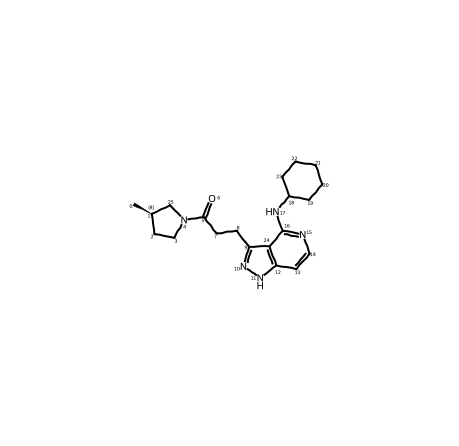 C[C@@H]1CCN(C(=O)CCc2n[nH]c3ccnc(NC4CCCCC4)c23)C1